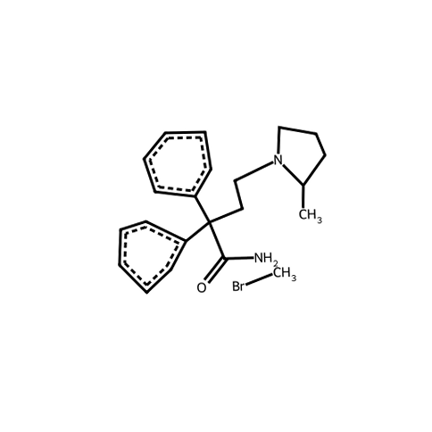 CBr.CC1CCCN1CCC(C(N)=O)(c1ccccc1)c1ccccc1